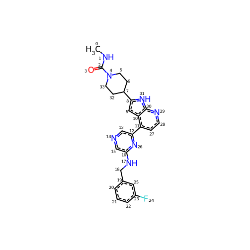 CNC(=O)N1CCC(c2cc3c(-c4cncc(NCc5cccc(F)c5)n4)ccnc3[nH]2)CC1